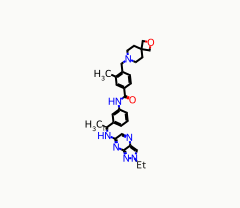 CCn1cc2ncc(N[C@@H](C)c3cccc(NC(=O)c4ccc(CN5CCC6(CC5)COC6)c(C)c4)c3)nc2n1